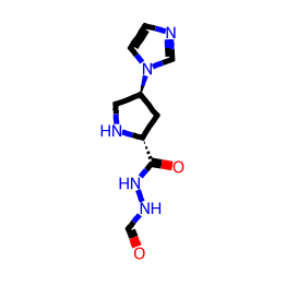 O=CNNC(=O)[C@H]1C[C@H](n2ccnc2)CN1